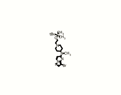 CN(c1ccn2ncc(Br)c2n1)C1CCN(CCO[Si](C)(C)C(C)(C)C)CC1